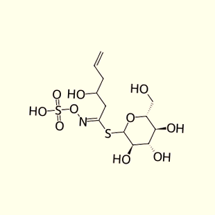 C=CCC(O)C/C(=N\OS(=O)(=O)O)SC1O[C@H](CO)[C@@H](O)[C@H](O)[C@H]1O